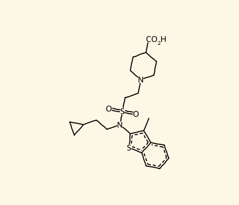 Cc1c(N(CCC2CC2)S(=O)(=O)CCN2CCC(C(=O)O)CC2)sc2ccccc12